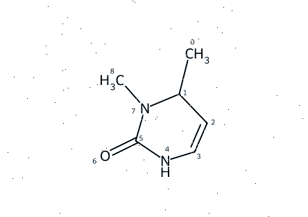 CC1C=CNC(=O)N1C